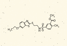 CCOc1ccc2nc(SCCNS(=O)(=O)c3ccc(C)c(C(=O)OC)c3)sc2c1